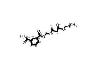 COCOC(=O)CC(=O)OCOC(=O)c1cccc(C(C)=O)c1